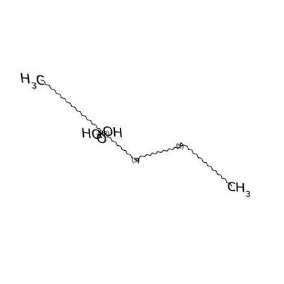 CCCCCCCCCCCCCCCCCCCCCCCC[C@@H](C(=O)O)[C@H](O)CCCCCCCCCCC[C@H]1CC1CCCCCCCCCCCCCC[C@H]1CC1CCCCCCCCCCCCCCCCCCCC